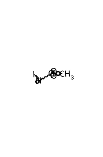 Cc1ccc(S(=O)(=O)OCCCCCCC[N+]2(CC#CI)CCCC2)cc1